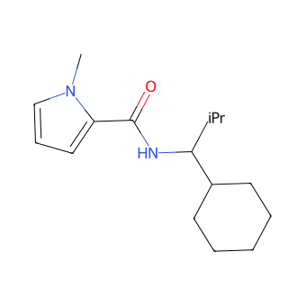 CC(C)C(NC(=O)c1cccn1C)C1CCCCC1